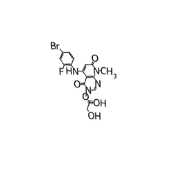 Cn1c(=O)cc(Nc2ccc(Br)cc2F)c2c(=O)n(O[C@@H](O)CO)cnc21